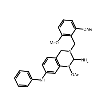 COc1cccc(OC)c1CN1Cc2ccc(Nc3ccccc3)cc2N(OC(C)=O)C1N